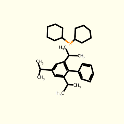 C1CCC([P]C2CCCCC2)CC1.CC(C)c1cc(C(C)C)c(-c2ccccc2)c(C(C)C)c1